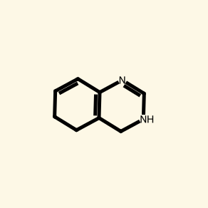 C1=CC2=C(CC1)CNC=N2